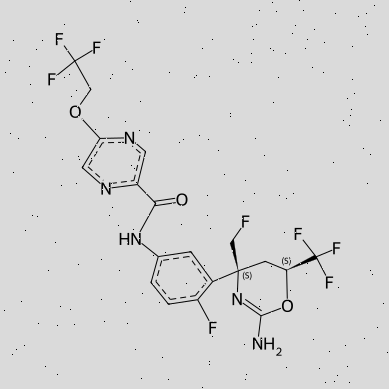 NC1=N[C@](CF)(c2cc(NC(=O)c3cnc(OCC(F)(F)F)cn3)ccc2F)C[C@@H](C(F)(F)F)O1